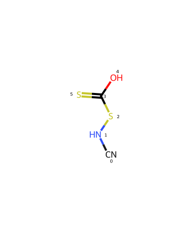 N#CNSC(O)=S